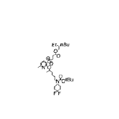 CCCC[C@@H](CC)COC(=O)CCS(=O)(=O)c1ccc(C)nc1O[C@H](C)CCCCN(C(=O)OC(C)(C)C)C1CCC(F)(F)CC1